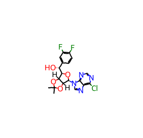 CC1(C)O[C@H]2[C@@H](O1)[C@H](n1cnc3c(Cl)ncnc31)O[C@@H]2[C@H](O)c1ccc(F)c(F)c1